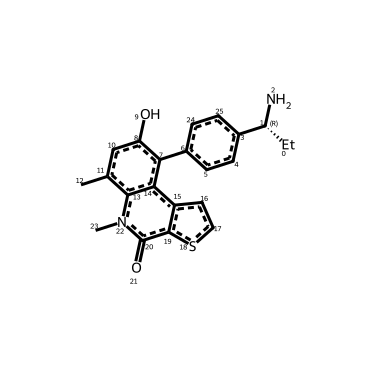 CC[C@@H](N)c1ccc(-c2c(O)cc(C)c3c2c2ccsc2c(=O)n3C)cc1